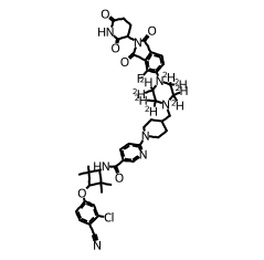 [2H]C1([2H])N(CC2CCN(c3ccc(C(=O)NC4C(C)(C)C(Oc5ccc(C#N)c(Cl)c5)C4(C)C)cn3)CC2)C([2H])([2H])C([2H])([2H])N(c2ccc3c(c2F)C(=O)N(C2CCC(=O)NC2=O)C3=O)C1([2H])[2H]